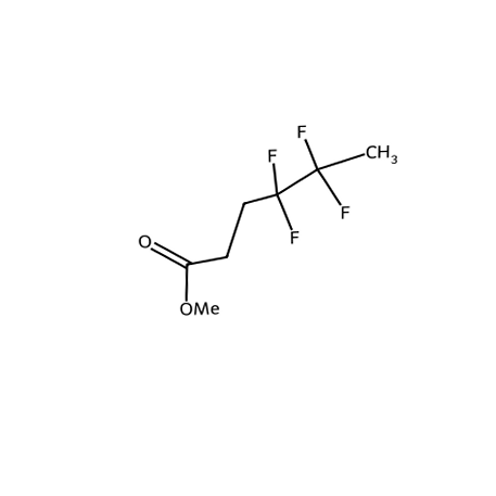 COC(=O)CCC(F)(F)C(C)(F)F